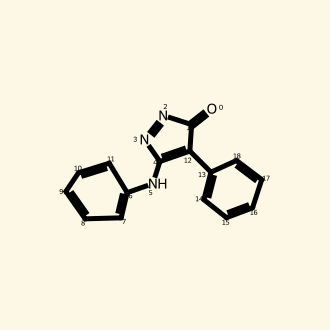 O=C1N=NC(Nc2ccccc2)=C1c1ccccc1